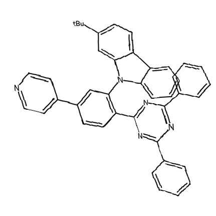 CC(C)(C)c1ccc2c3ccccc3n(-c3cc(-c4ccncc4)ccc3-c3nc(-c4ccccc4)nc(-c4ccccc4)n3)c2c1